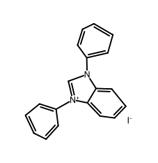 [I-].c1ccc(-n2c[n+](-c3ccccc3)c3ccccc32)cc1